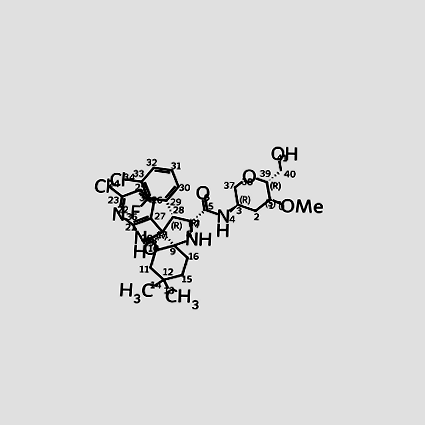 CO[C@H]1C[C@@H](NC(=O)[C@@H]2NC3(CCC(C)(C)CC3)[C@@]3(C(=O)Nc4nc(Cl)ccc43)[C@@H]2c2cccc(Cl)c2F)CO[C@@H]1CO